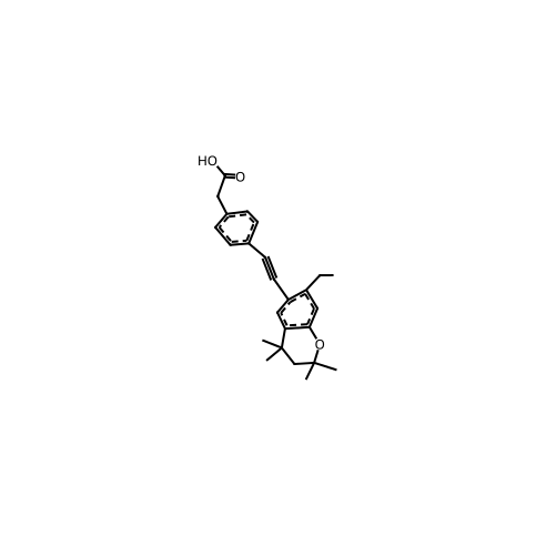 CCc1cc2c(cc1C#Cc1ccc(CC(=O)O)cc1)C(C)(C)CC(C)(C)O2